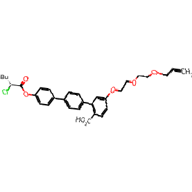 C=CCOCCOCCOc1ccc(C(=O)O)c(-c2ccc(-c3ccc(OC(=O)[C@@H](Cl)[C@@H](C)CC)cc3)cc2)c1